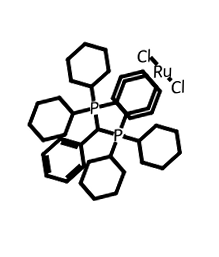 [Cl][Ru][Cl].c1ccc(C([P](C2CCCCC2)(C2CCCCC2)C2CCCCC2)[P](C2CCCCC2)(C2CCCCC2)C2CCCCC2)cc1